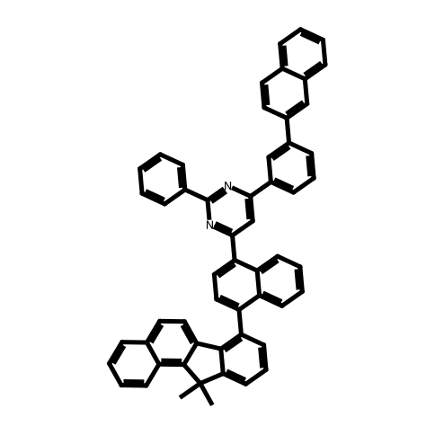 CC1(C)c2cccc(-c3ccc(-c4cc(-c5cccc(-c6ccc7ccccc7c6)c5)nc(-c5ccccc5)n4)c4ccccc34)c2-c2ccc3ccccc3c21